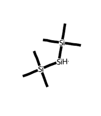 C[Si](C)(C)[SiH][Si](C)(C)C